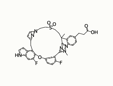 Cn1nc2nc1-c1cc(ccc1F)Oc1c(F)cc3[nH]ccc3c1Cc1ccn(n1)CCS(=O)(=O)CCC2(C)c1cccc(CCC(=O)O)c1